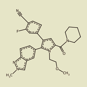 COCCn1c(C(=O)N2CCCCC2)cc(-c2ccc(C#N)c(F)c2)c1-c1ccc2nn(C)cc2c1